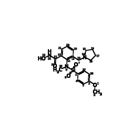 COc1ccc(S(=O)(=O)N(C)c2c(CN3CCCC3)cccc2C(=O)NO)cc1